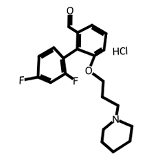 Cl.O=Cc1cccc(OCCCN2CCCCC2)c1-c1ccc(F)cc1F